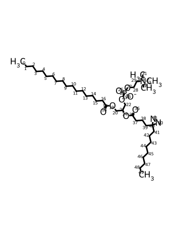 CCCCCCCCCCCCCCCCCC(=O)OCC(COP(=O)([O-])OCC[N+](C)(C)C)OC(=O)CCCC1(CCCCCCCCC)N=N1